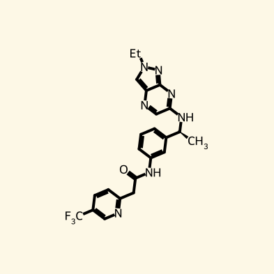 CCn1cc2ncc(N[C@@H](C)c3cccc(NC(=O)Cc4ccc(C(F)(F)F)cn4)c3)nc2n1